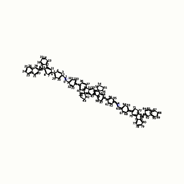 C(=C\c1ccc(-c2ccc3c(c2)c2ccccc2n3-c2ccc3ccccc3c2)cc1)/c1ccc(-c2ccc3c(c2)C2(CCCC2)c2cc4c(cc2-3)C2(CCCC2)c2cc(-c3ccc(/C=C/c5ccc(-c6ccc7c(c6)c6ccccc6n7-c6ccc7ccccc7c6)cc5)cc3)ccc2-4)cc1